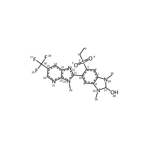 CCS(=O)(=O)c1cc2c(cc1-c1nc3cc(C(F)(F)F)cnc3n1C)N(C)C(O)N2C